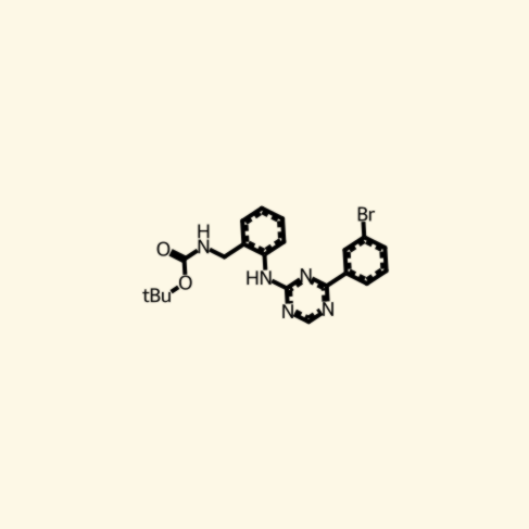 CC(C)(C)OC(=O)NCc1ccccc1Nc1ncnc(-c2cccc(Br)c2)n1